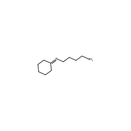 NCCCCN=C1CCCCC1